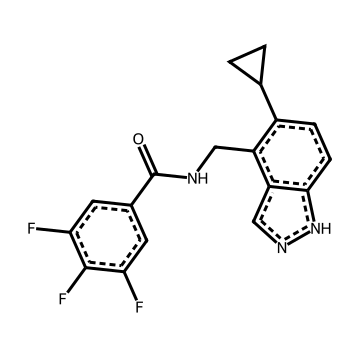 O=C(NCc1c(C2CC2)ccc2[nH]ncc12)c1cc(F)c(F)c(F)c1